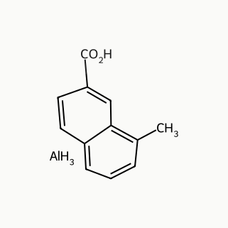 Cc1cccc2ccc(C(=O)O)cc12.[AlH3]